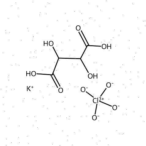 O=C(O)C(O)C(O)C(=O)O.[K+].[O-][Cl+3]([O-])([O-])[O-]